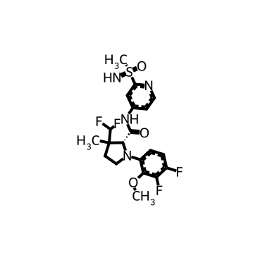 COc1c(N2CCC(C)(C(F)F)[C@@H]2C(=O)Nc2ccnc([S@](C)(=N)=O)c2)ccc(F)c1F